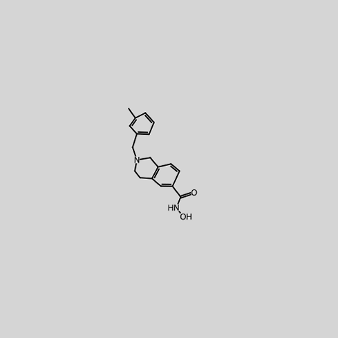 Cc1cccc(CN2CCc3cc(C(=O)NO)ccc3C2)c1